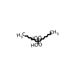 CCCCCCCCC(CCCCCCCC)(C(=O)O)C(=O)O